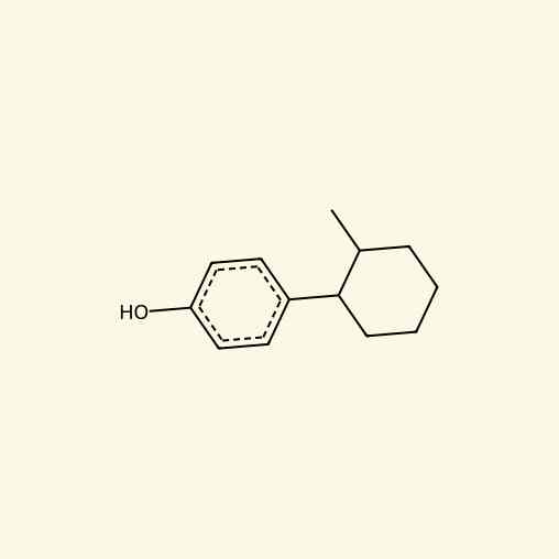 CC1CCCCC1c1ccc(O)cc1